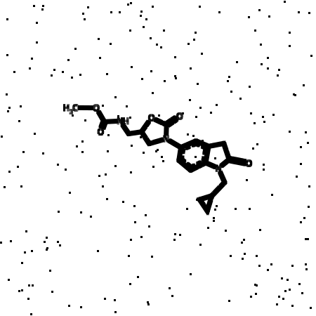 COC(=O)NCC1CN(c2ccc3c(c2)CC(=O)N3CC2CC2)C(=O)O1